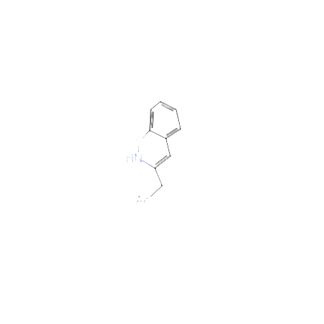 CC(=O)CC1=Cc2ccccc2SN1